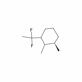 CC1C(C(C)(F)F)CCC[C@H]1C